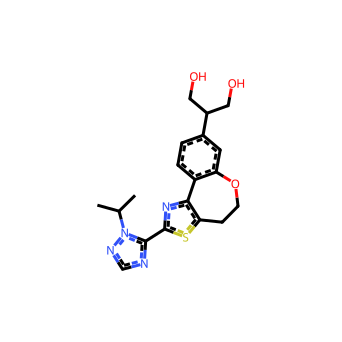 CC(C)n1ncnc1-c1nc2c(s1)CCOc1cc(C(CO)CO)ccc1-2